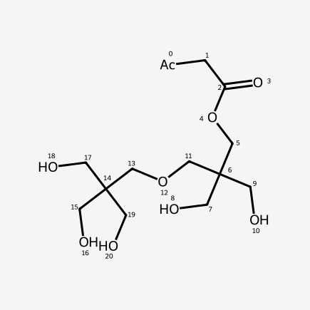 CC(=O)CC(=O)OCC(CO)(CO)COCC(CO)(CO)CO